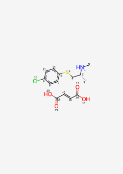 CN[C@H](C)CSc1ccc(Cl)cc1.O=C(O)/C=C/C(=O)O